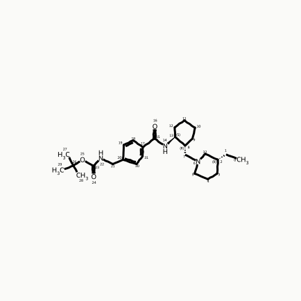 CC[C@@H]1CCCN(C[C@H]2CCCC[C@@H]2NC(=O)c2ccc(CNC(=O)OC(C)(C)C)cc2)C1